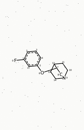 Fc1cccc(OC2CN3CCC2CC3)c1